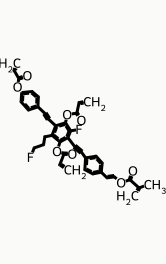 C=CC(=O)Oc1ccc(C#Cc2c(CCCF)c(OC(=O)C=C)c(C#Cc3ccc(/C=C/OC(=O)C(=C)C)cc3)c(F)c2OC(=O)C=C)cc1